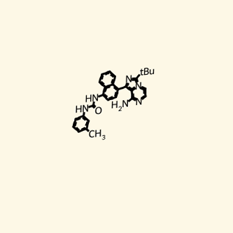 Cc1cccc(NC(=O)Nc2ccc(-c3nc(C(C)(C)C)n4ccnc(N)c34)c3ccccc23)c1